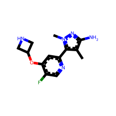 Cc1c(N)nn(C)c1-c1cc(OC2CNC2)c(F)cn1